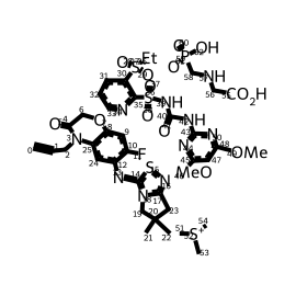 C#CCN1C(=O)COc2cc(F)c(/N=c3\snc4n3CC(C)(C)C4)cc21.CCS(=O)(=O)c1cccnc1S(=O)(=O)NC(=O)Nc1nc(OC)cc(OC)n1.C[S+](C)C.O=C(O)CNCP(=O)([O-])O